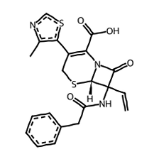 C=CC1(NC(=O)Cc2ccccc2)C(=O)N2C(C(=O)O)=C(c3scnc3C)CS[C@H]21